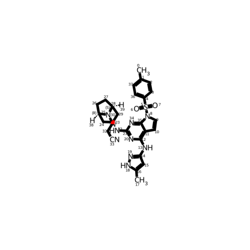 Cc1ccc(S(=O)(=O)n2ccc3c(Nc4cc(C)[nH]n4)nc(N[C@@H]4C[C@H]5CC[C@@H](C4)N5CCC#N)nc32)cc1